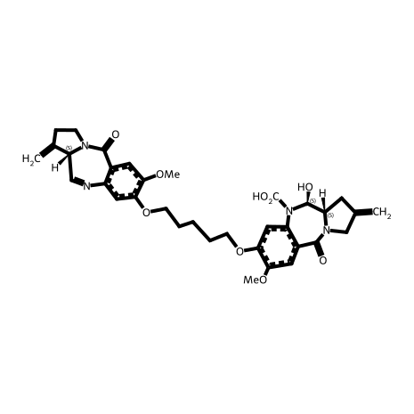 C=C1C[C@H]2[C@H](O)N(C(=O)O)c3cc(OCCCCCOc4cc5c(cc4OC)C(=O)N4CCC(=C)[C@H]4C=N5)c(OC)cc3C(=O)N2C1